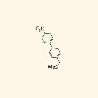 CSCc1ccc(C2=CCC(C(F)(F)F)CC2)cc1